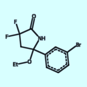 CCOC1(c2cccc(Br)c2)CC(F)(F)C(=O)N1